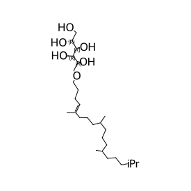 CC(=CCCCOC[C@@H](O)[C@@H](O)[C@H](O)[C@H](O)CO)CCCC(C)CCCC(C)CCCC(C)C